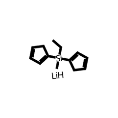 CC[Si](C)(C1=CC=CC1)C1=CC=CC1.[LiH]